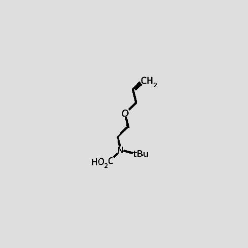 C=CCOCCN(C(=O)O)C(C)(C)C